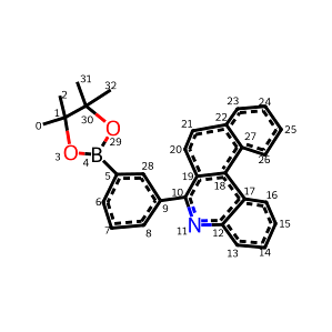 CC1(C)OB(c2cccc(-c3nc4ccccc4c4c3ccc3ccccc34)c2)OC1(C)C